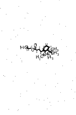 COc1c(CCCC(=O)OCCO)cccc1C(C)(C)C